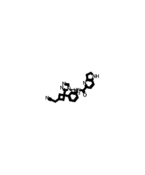 Cn1cnnc1C1(c2cccc(NC(=O)c3ccc4c(n3)CCN4)c2)CC(CC#N)C1